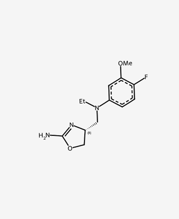 CCN(C[C@@H]1COC(N)=N1)c1ccc(F)c(OC)c1